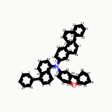 c1ccc(-c2cccc3c(N(c4ccc5c(ccc6c7ccccc7ccc56)c4)c4ccc5oc6ccccc6c5c4)cccc23)cc1